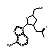 CC(=O)OC1CC(CO)OC1n1cnc2c(N)ncnc21